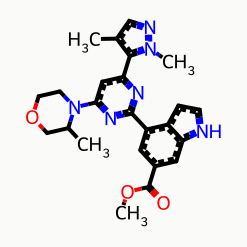 COC(=O)c1cc(-c2nc(-c3c(C)cnn3C)cc(N3CCOCC3C)n2)c2cc[nH]c2c1